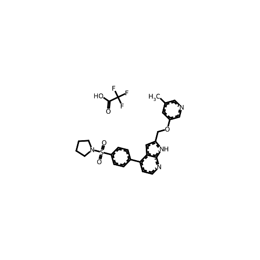 Cc1cncc(OCc2cc3c(-c4ccc(S(=O)(=O)N5CCCC5)cc4)ccnc3[nH]2)c1.O=C(O)C(F)(F)F